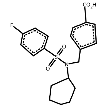 O=C(O)c1ccc(CN(C2CCCCC2)S(=O)(=O)c2ccc(F)cc2)cc1